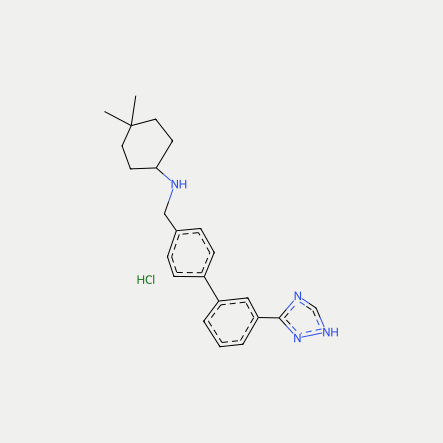 CC1(C)CCC(NCc2ccc(-c3cccc(-c4nc[nH]n4)c3)cc2)CC1.Cl